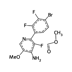 COC=O.COc1cnc(-c2ccc(Br)c(F)c2F)c(F)c1N